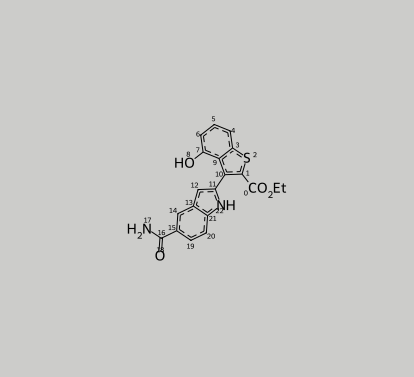 CCOC(=O)c1sc2cccc(O)c2c1-c1cc2cc(C(N)=O)ccc2[nH]1